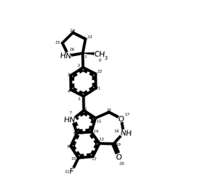 C[C@]1(c2ccc(-c3[nH]c4cc(F)cc5c4c3CONC5=O)cc2)CCCN1